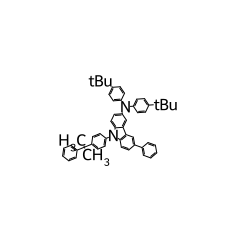 CC(C)(C)c1ccc(N(c2ccc(C(C)(C)C)cc2)c2ccc3c(c2)c2cc(-c4ccccc4)ccc2n3-c2ccc(C(C)(C)c3ccccc3)cc2)cc1